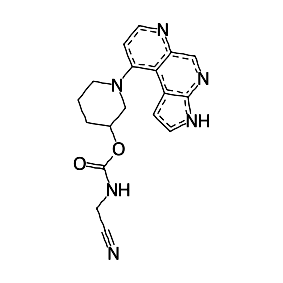 N#CCNC(=O)OC1CCCN(c2ccnc3cnc4[nH]ccc4c23)C1